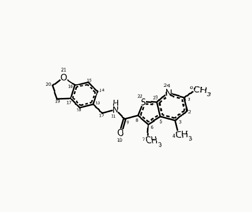 Cc1cc(C)c2c(C)c(C(=O)NCc3ccc4c(c3)CCO4)sc2n1